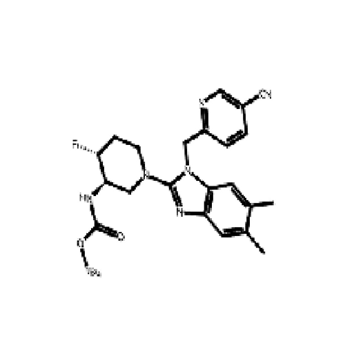 Cc1cc2nc(N3CC[C@@H](F)[C@H](NC(=O)OC(C)(C)C)C3)n(Cc3ccc(C#N)cn3)c2cc1C